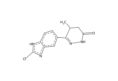 CC1CC(=O)NN=C1c1ccc2[nH]c(Cl)nc2c1